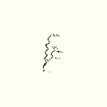 CC(O)CN(C)C.CCCCCCCCC=CCCCCCCCC(=O)O